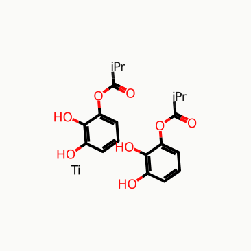 CC(C)C(=O)Oc1cccc(O)c1O.CC(C)C(=O)Oc1cccc(O)c1O.[Ti]